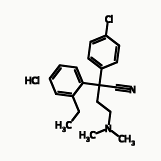 CCc1ccccc1C(C#N)(CCN(C)C)c1ccc(Cl)cc1.Cl